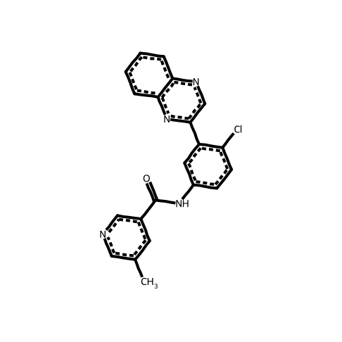 Cc1cncc(C(=O)Nc2ccc(Cl)c(-c3cnc4ccccc4n3)c2)c1